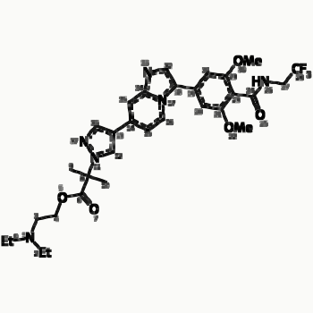 CCN(CC)CCOC(=O)C(C)(C)n1cc(-c2ccn3c(-c4cc(OC)c(C(=O)NCC(F)(F)F)c(OC)c4)cnc3c2)cn1